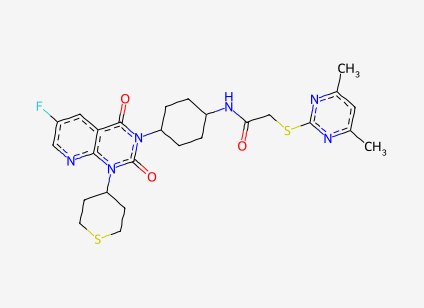 Cc1cc(C)nc(SCC(=O)NC2CCC(n3c(=O)c4cc(F)cnc4n(C4CCSCC4)c3=O)CC2)n1